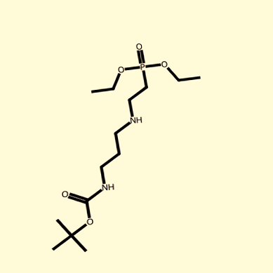 CCOP(=O)(CCNCCCNC(=O)OC(C)(C)C)OCC